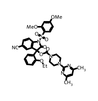 CCOc1ccccc1C1(OC(=O)N2CCN(c3nc(C)cc(C)n3)CC2)C(=O)N(S(=O)(=O)c2ccc(OC)cc2OC)c2ccc(C#N)cc21